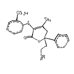 CC(C)CCC1(c2ccccc2)CC(O)=C(Sc2ccccc2C(=O)O)C(=O)O1